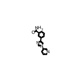 NC(=O)c1cccc(-c2cn(-c3cccnc3)cn2)c1